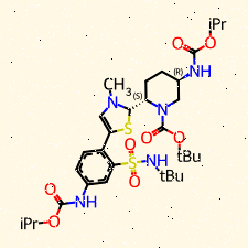 CC(C)OC(=O)Nc1ccc(C2=CN(C)C([C@@H]3CC[C@@H](NC(=O)OC(C)C)CN3C(=O)OC(C)(C)C)S2)c(S(=O)(=O)NC(C)(C)C)c1